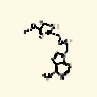 CC(C)OC(=O)[C@H](C)NPCO[C@H](C)Cn1cnc2c(N)ncnc21